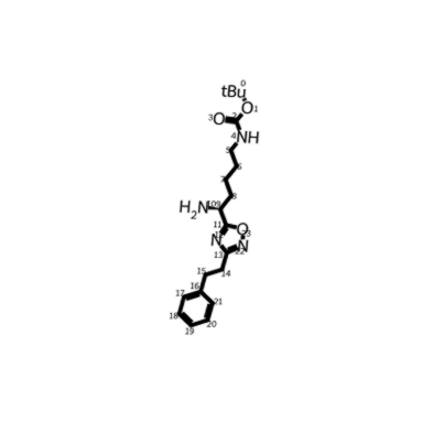 CC(C)(C)OC(=O)NCCCC[C@H](N)c1nc(CCc2ccccc2)no1